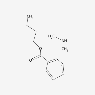 CCCCOC(=O)c1ccccc1.CNC